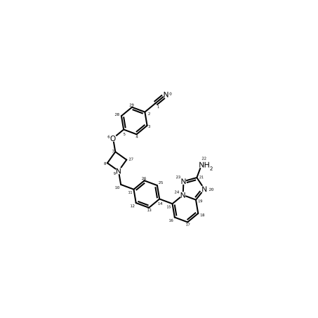 N#Cc1ccc(OC2CN(Cc3ccc(-c4cccc5nc(N)nn45)cc3)C2)cc1